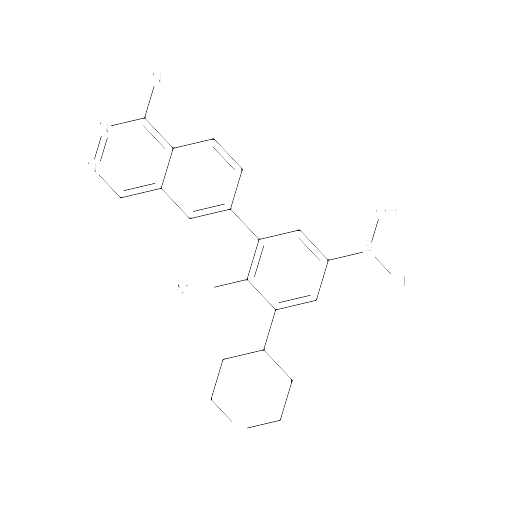 COc1c(-c2ccc3c(N)nncc3c2)cc(B(C)O)cc1C1CCOCC1